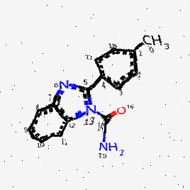 Cc1ccc(-c2nc3ccccc3n2C(N)=O)cc1